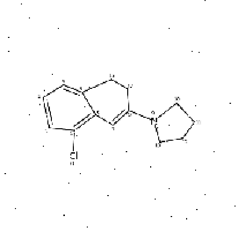 Clc1cccc2c1C=C(N1CCCC1)CC2